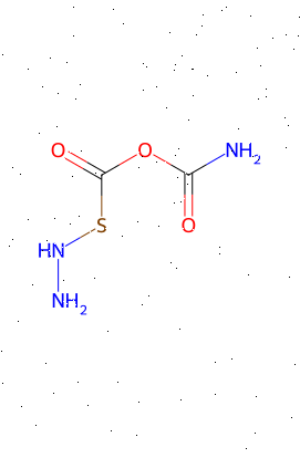 NNSC(=O)OC(N)=O